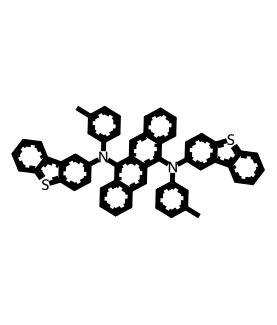 Cc1cccc(N(c2ccc3sc4ccccc4c3c2)c2c3ccccc3cc3c(N(c4cccc(C)c4)c4ccc5sc6ccccc6c5c4)c4ccccc4cc23)c1